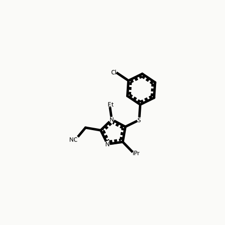 CCn1c(CC#N)nc(C(C)C)c1Sc1cccc(Cl)c1